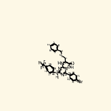 O=C(O)C(CSCc1ccccc1)Nc1nc(Nc2ccc(C(F)(F)F)cc2)nc(-c2ccc(Br)cc2)n1